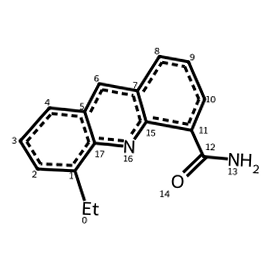 CCc1cccc2cc3cccc(C(N)=O)c3nc12